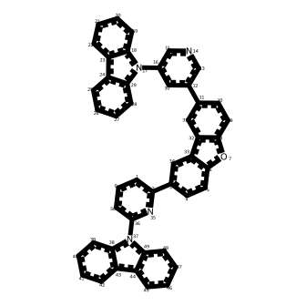 c1cc(-c2ccc3oc4ccc(-c5cncc(-n6c7ccccc7c7ccccc76)c5)cc4c3c2)nc(-n2c3ccccc3c3ccccc32)c1